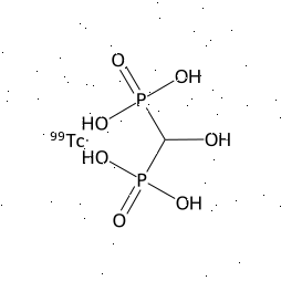 O=P(O)(O)C(O)P(=O)(O)O.[99Tc]